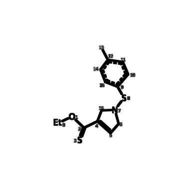 CCOC(=S)C1=CCN(Sc2ccc(C)cc2)C1